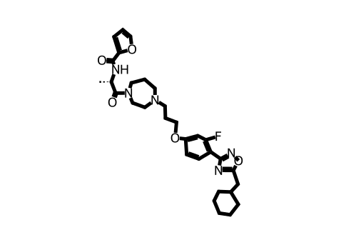 C[C@H](NC(=O)c1ccco1)C(=O)N1CCCN(CCCOc2ccc(-c3noc(CC4CCCCC4)n3)c(F)c2)CC1